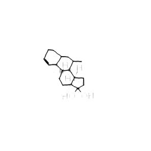 CC1CC2CCC=C[C@]2(C)[C@@H]2CC[C@@]3(C)[C@@H](CCC3(O)O)[C@H]12